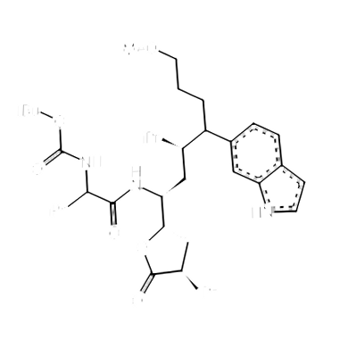 COCCCC(c1ccc2cc[nH]c2c1)[C@@H](C[C@H](NC(=O)C(NC(=O)OC(C)(C)C)C(C)C)[C@@H]1C[C@@H](C(C)C)C(=O)O1)C(C)C